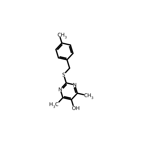 Cc1ccc(CSc2nc(C)c(O)c(C)n2)cc1